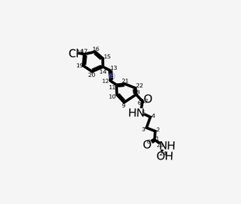 O=C(CCCNC(=O)c1ccc(/C=C/c2ccc(Cl)cc2)cc1)NO